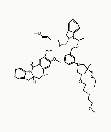 CCSSC(C)(C)CN(CCOCCOCCOC)c1cc(COc2cc3c(cc2OC)C(=O)N2c4ccccc4C[C@H]2CN3)cc(COC(C)N2c3ccccc3C[C@H]2/C=N\CC/C=C/OC)c1